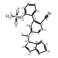 CN(c1cnc(C#N)c(-c2ccccc2OS(N)(=O)=O)n1)n1cnc2ccccc21